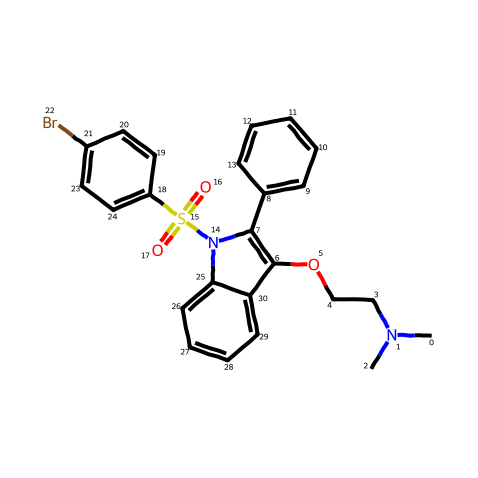 CN(C)CCOc1c(-c2ccccc2)n(S(=O)(=O)c2ccc(Br)cc2)c2ccccc12